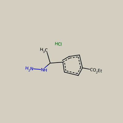 CCOC(=O)c1ccc(C(C)NN)cc1.Cl